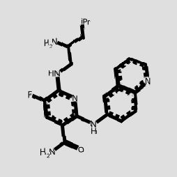 CC(C)CC(N)CNc1nc(Nc2ccc3ncccc3c2)c(C(N)=O)cc1F